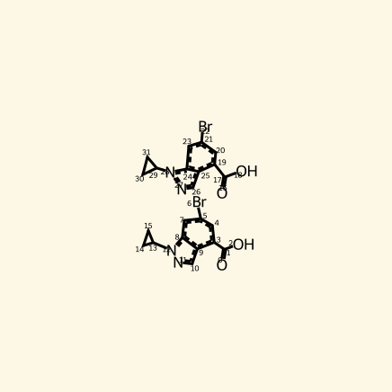 O=C(O)c1cc(Br)cc2c1cnn2C1CC1.O=C(O)c1cc(Br)cc2c1cnn2C1CC1